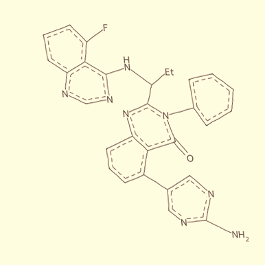 CCC(Nc1ncnc2cccc(F)c12)c1nc2cccc(-c3cnc(N)nc3)c2c(=O)n1-c1ccccc1